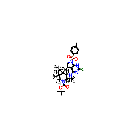 [2H]C([2H])([2H])N(c1nc(Cl)nc2c1ccn2S(=O)(=O)c1ccc(C)cc1)C1([2H])C([2H])([2H])N(C(=O)OC(C)(C)C)C([2H])([2H])C([2H])([2H])C1([2H])C([2H])([2H])[2H]